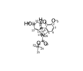 COc1ccc2c3c1O[C@H]1C[C@@H](O)C=C[C@]31CCN(C(=O)OC(C)(C)C)C2